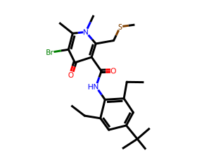 CCc1cc(C(C)(C)C)cc(CC)c1NC(=O)c1c(CSC)n(C)c(C)c(Br)c1=O